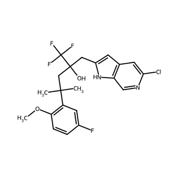 COc1ccc(F)cc1C(C)(C)CC(O)(Cc1cc2cc(Cl)ncc2[nH]1)C(F)(F)F